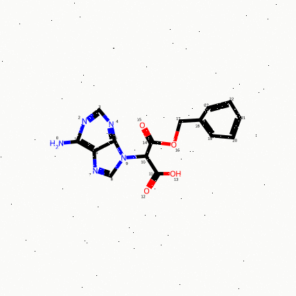 Nc1ncnc2c1ncn2C(C(=O)O)C(=O)OCc1ccccc1